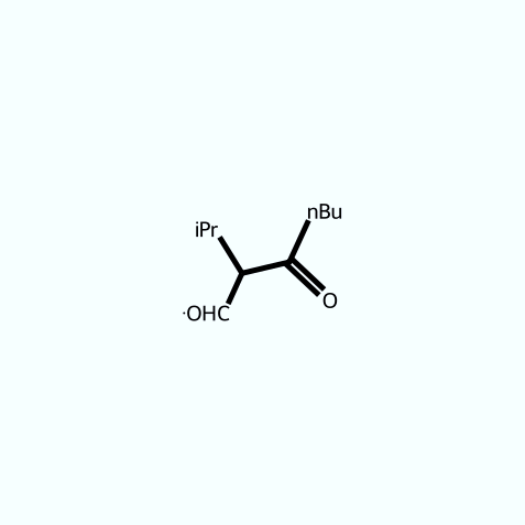 CCCCC(=O)C([C]=O)C(C)C